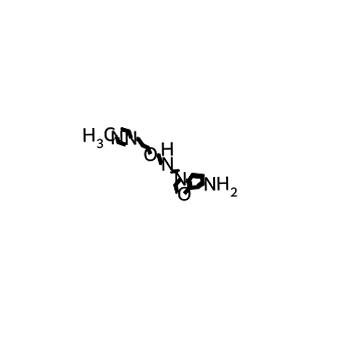 CN1CCN(CCCOCCNCCN2CCOc3cc(N)ccc32)CC1